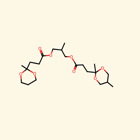 CC(COC(=O)CCC1(C)OCCCO1)COC(=O)CCC1(C)OCC(C)CO1